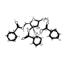 CC(=O)OC1O[C@H](COC(=O)c2ccccc2)[C@@](C)(OC(=O)c2ccccc2)[C@H]1OC(=O)c1ccccc1